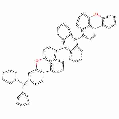 c1ccc([SiH](c2ccccc2)c2ccc3c(c2)Oc2ccc(-c4c5ccccc5c(-c5ccc6c7c(cccc57)Oc5ccccc5-6)c5ccccc45)c4cccc-3c24)cc1